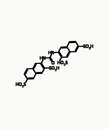 O=C(Nc1cc2ccc(S(=O)(=O)O)cc2cc1S(=O)(=O)O)Nc1cc2ccc(S(=O)(=O)O)cc2cc1S(=O)(=O)O